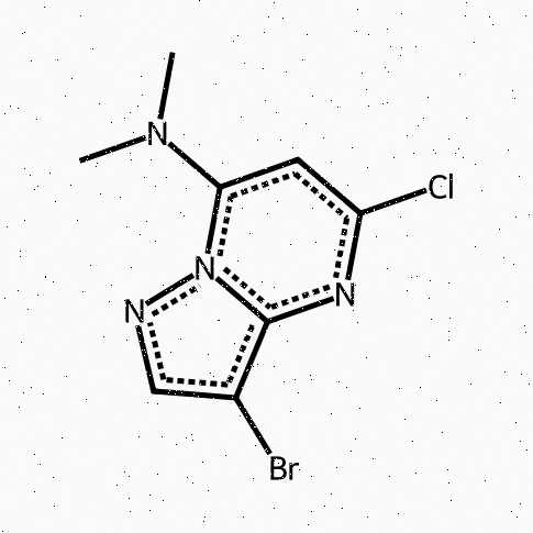 CN(C)c1cc(Cl)nc2c(Br)cnn12